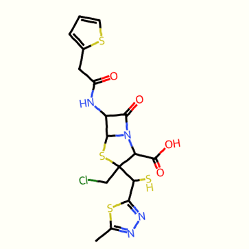 Cc1nnc(C(S)C2(CCl)SC3C(NC(=O)Cc4cccs4)C(=O)N3C2C(=O)O)s1